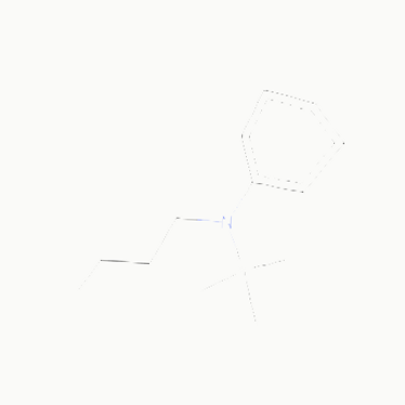 CCCCN(c1ccccc1)[Si](C)(C)C